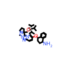 CC(C)[Si](OCC1(c2nnc3ccc(O[C@@H]4CC[C@H](N)c5ccccc54)cn23)CCCN1C)(C(C)C)C(C)C